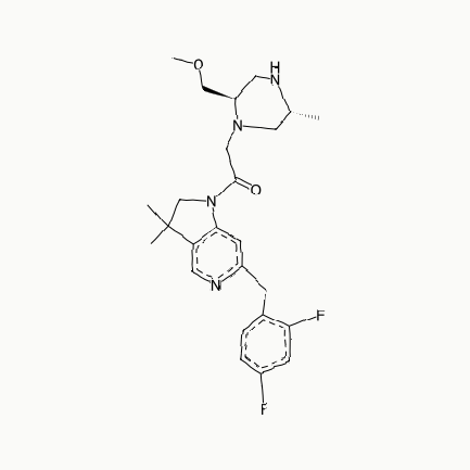 COC[C@H]1CN[C@H](C)CN1CC(=O)N1CC(C)(C)c2cnc(Cc3ccc(F)cc3F)cc21